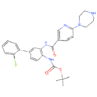 CC(C)(C)OC(=O)Nc1ccc(-c2ccccc2F)cc1NC(=O)c1ccc(N2CCNCC2)nc1